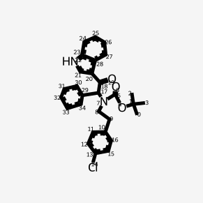 CC(C)(C)OC(=O)N(CCc1ccc(Cl)cc1)C(C(=O)c1c[nH]c2ccccc12)c1ccccc1